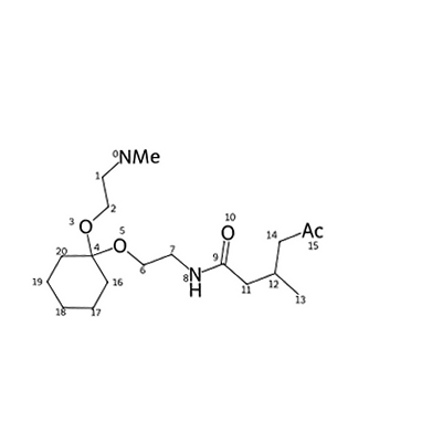 CNCCOC1(OCCNC(=O)CC(C)CC(C)=O)CCCCC1